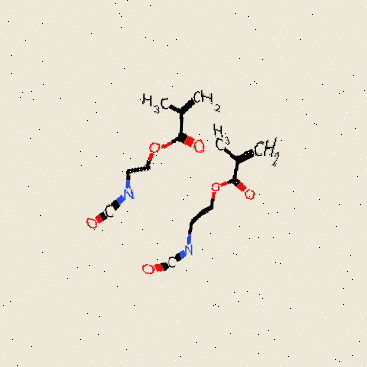 C=C(C)C(=O)OCCN=C=O.C=C(C)C(=O)OCCN=C=O